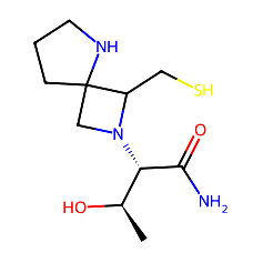 C[C@@H](O)[C@@H](C(N)=O)N1CC2(CCCN2)C1CS